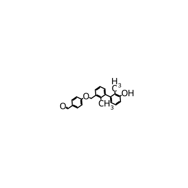 Cc1c(O)cccc1-c1cccc(COc2ccc(C=O)cc2)c1C